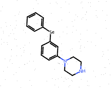 c1ccc([Se]c2cccc(N3CCNCC3)c2)cc1